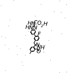 Cc1ccc2c(Cc3ccc(F)c(-c4ccc5[nH]c(NC(=O)O)nc5c4)c3)n[nH]c(=O)c2c1